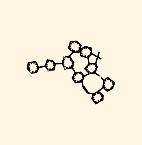 CC1(C)c2ccccc2-c2cc3c(cc21)Oc1ccccc1-c1ccccc1/C=C\c1ccc(-c2cc(-c4ccccc4)nc(-c4ccc(-c5cccnc5)nc4)n2)cc1-3